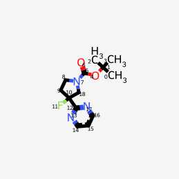 CC(C)(C)OC(=O)N1CCC(F)(c2ncccn2)C1